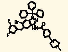 CN1CCN(c2ccc(C(=O)Nc3nn(C(c4ccccc4)(c4ccccc4)c4ccccc4)c4cc(Br)c(Cc5cc(F)cc(F)c5)cc34)cc2)CC1